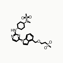 CN([C@H]1CC[C@H](Nc2nccc(-n3ccc4c(COCCS(C)(=O)=O)cccc43)n2)CC1)S(C)(=O)=O